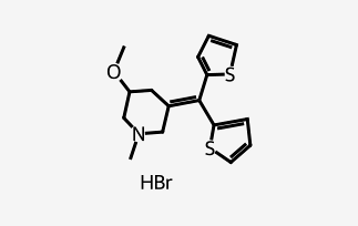 Br.COC1CC(=C(c2cccs2)c2cccs2)CN(C)C1